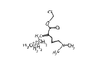 C=C(CCN(C)C)C(=O)OCCl.O.O.O.O